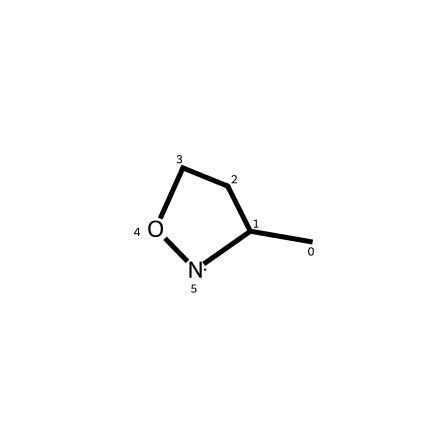 CC1CCO[N]1